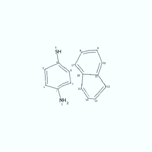 Nc1ccc(S)cc1.c1ccc2ccccc2c1